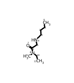 CCCCNCC(=O)N(C)CC